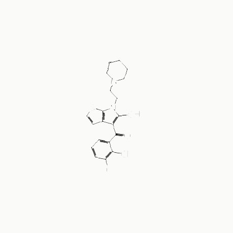 Cc1c(C(=O)c2cccc(Cl)c2Cl)c2ccsc2n1CCN1CCCCC1